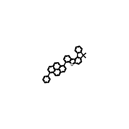 CC1(C)c2ccccc2-c2c1ccc1oc3c(-c4ccc5ccc6c(-c7ccccc7)ccc7ccc4c5c76)cccc3c21